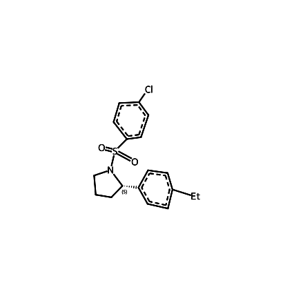 CCc1ccc([C@@H]2CCCN2S(=O)(=O)c2ccc(Cl)cc2)cc1